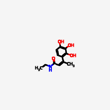 CCNC(=O)/C=C(/C)c1ccc(O)c(O)c1O